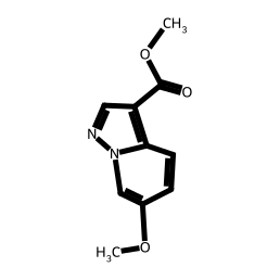 COC(=O)c1cnn2cc(OC)ccc12